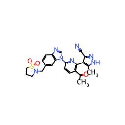 CC(=O)c1ccc(-n2cnc3ccc(CN4CCCS4(=O)=O)cc32)nc1-c1c(C#N)n[nH]c1C